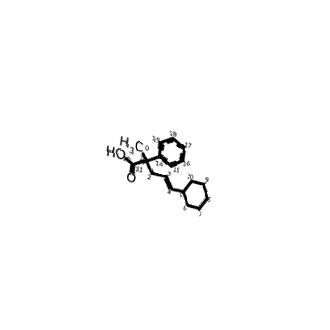 CC(CC=CC1CCCCC1)(C(=O)O)c1ccccc1